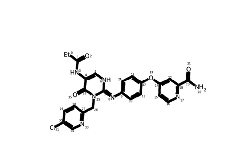 CCC(=O)Nc1c[nH]/c(=N\c2ccc(Oc3ccnc(C(N)=O)c3)cc2)n(Cc2ccc(Cl)cn2)c1=O